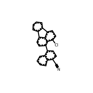 N#Cc1ccc(-c2ccc3c4c(ccc(Cl)c24)-c2ccccc2-3)c2ccccc12